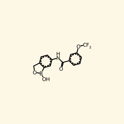 O=C(Nc1ccc2c(c1)B(O)OC2)c1cccc(OC(F)(F)F)c1